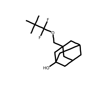 CC(C)(C)C(F)(F)OCC12CC3CC(CC(O)(C3)C1)C2